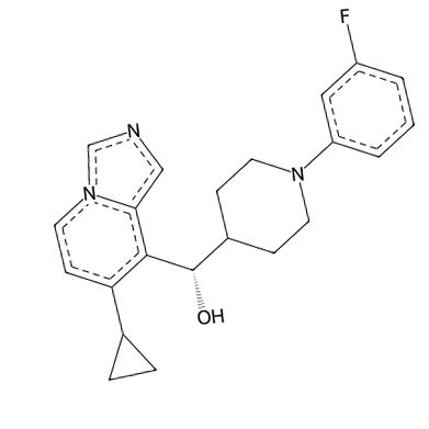 O[C@H](c1c(C2CC2)ccn2cncc12)C1CCN(c2cccc(F)c2)CC1